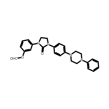 O=COc1cccc(N2CCN(c3ccc(N4CCN(c5ccccc5)CC4)cc3)C2=O)c1